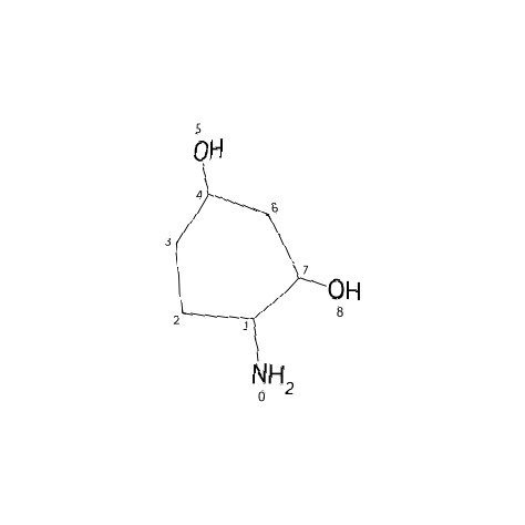 NC1CCC(O)CC1O